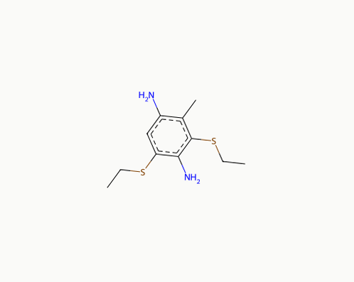 CCSc1cc(N)c(C)c(SCC)c1N